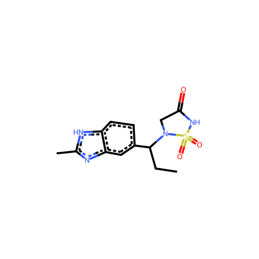 CCC(c1ccc2[nH]c(C)nc2c1)N1CC(=O)NS1(=O)=O